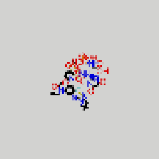 C#CCN1C(=O)COc2cc(F)c(/N=c3\snc4n3CC(C)(C)C4)cc21.CCS(=O)(=O)c1cccnc1S(=O)(=O)NC(=O)Nc1nc(OC)cc(OC)n1.O=C(O)CNCP(=O)(O)O